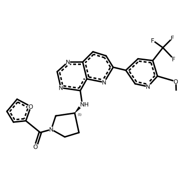 COc1ncc(-c2ccc3ncnc(N[C@H]4CCN(C(=O)c5ccco5)C4)c3n2)cc1C(F)(F)F